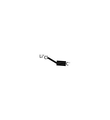 [C-]#CCl.[Li+]